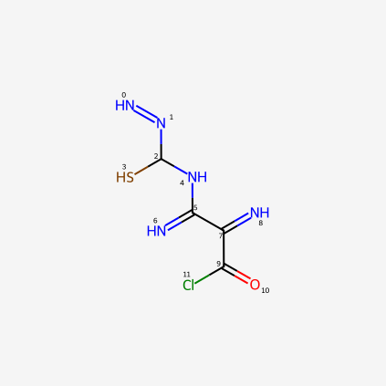 N=NC(S)NC(=N)C(=N)C(=O)Cl